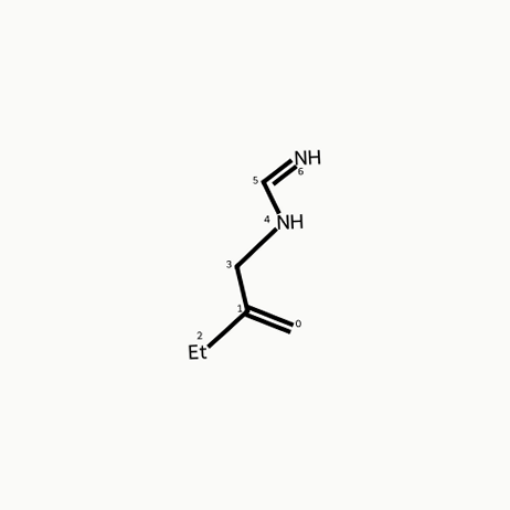 C=C(CC)CNC=N